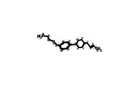 C/C=C/CC1CCC(c2ccc(COCCC)cc2)CC1